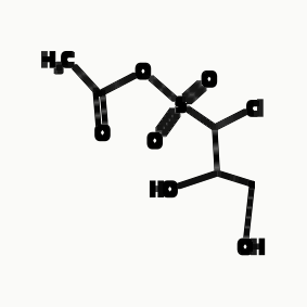 CC(=O)OS(=O)(=O)C(Cl)C(O)CO